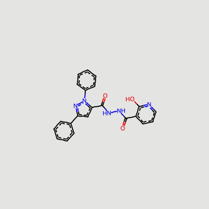 O=C(NNC(=O)c1cc(-c2ccccc2)nn1-c1ccccc1)c1cccnc1O